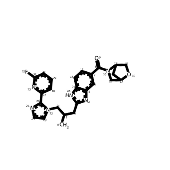 CC(Cc1nc2cc(C(=O)N3CC4CC3CO4)ccc2[nH]1)Cn1ccnc1-c1cccc(F)n1